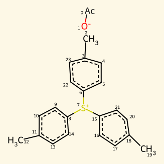 CC(=O)[O-].Cc1ccc([S+](c2ccc(C)cc2)c2ccc(C)cc2)cc1